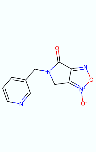 O=C1c2no[n+]([O-])c2CN1Cc1cccnc1